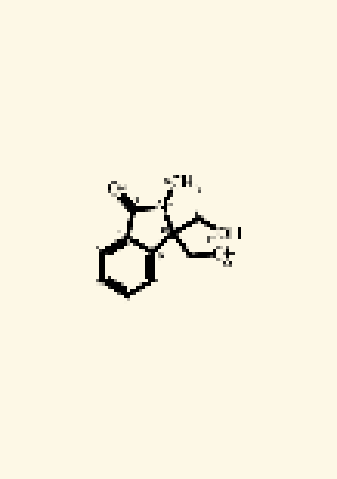 CN1C(=O)c2ccccc2C1(CO)CO